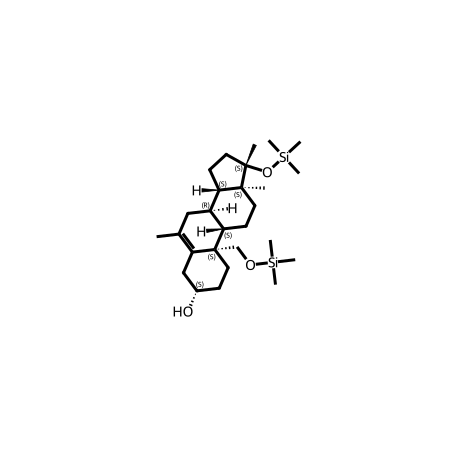 CC1=C2C[C@@H](O)CC[C@]2(CO[Si](C)(C)C)[C@H]2CC[C@@]3(C)[C@@H](CC[C@]3(C)O[Si](C)(C)C)[C@@H]2C1